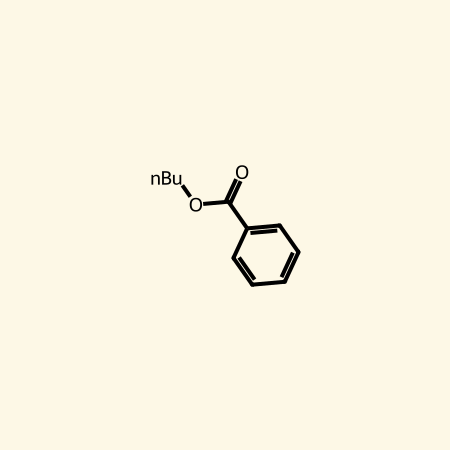 [CH2]CCCOC(=O)c1ccccc1